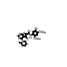 COc1cc(OC)c(NC(=O)c2sc3ncnc(N4CCCCC4C)c3c2C)cc1Cl